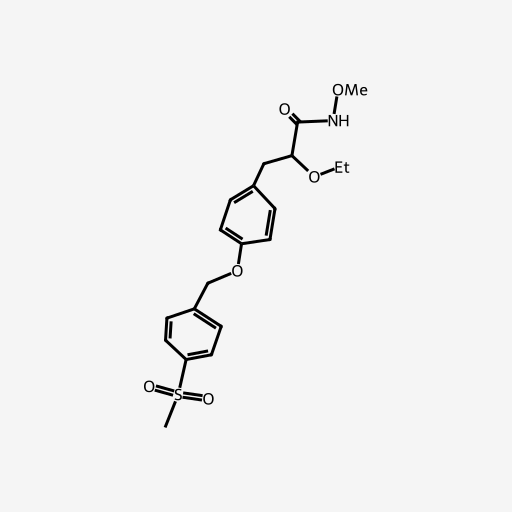 CCOC(Cc1ccc(OCc2ccc(S(C)(=O)=O)cc2)cc1)C(=O)NOC